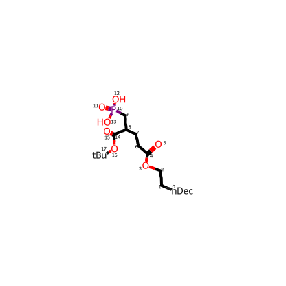 CCCCCCCCCCCCOC(=O)CCC(CP(=O)(O)O)C(=O)OC(C)(C)C